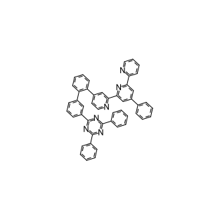 c1ccc(-c2cc(-c3ccccn3)nc(-c3cc(-c4ccccc4-c4cccc(-c5nc(-c6ccccc6)nc(-c6ccccc6)n5)c4)ccn3)c2)cc1